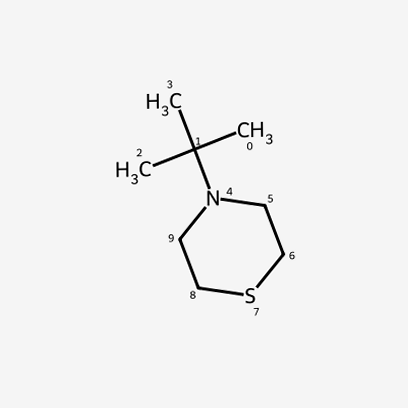 CC(C)(C)N1CCSCC1